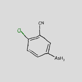 N#Cc1cc([AsH2])ccc1Cl